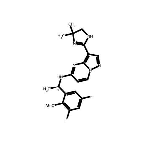 COc1c(F)cc(F)cc1[C@@H](C)Nc1ccn2ncc(C3=NC(C)(C)CN3)c2n1